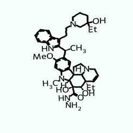 CCC1(O)CCCN(CCc2c([C@@H](C)c3cc4c(cc3OC)N(C)[C@H]3[C@@](O)(C(=O)NN)[C@H](O)[C@]5(CC)C=CCN6CC[C@]43[C@@H]65)[nH]c3ccccc23)C1